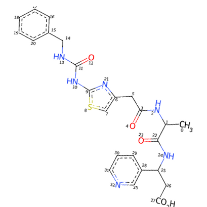 CC(NC(=O)Cc1csc(NC(=O)NCc2ccccc2)n1)C(=O)NC(CC(=O)O)c1cccnc1